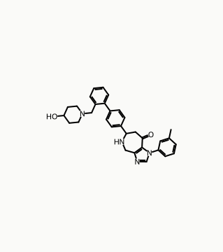 Cc1cccc(-n2cnc3c2C(=O)CC(c2ccc(-c4ccccc4CN4CCC(O)CC4)cc2)NC3)c1